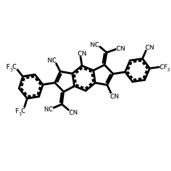 N#CC(C#N)=C1C(c2cc(C(F)(F)F)cc(C(F)(F)F)c2)=C(C#N)c2c1cc1c(c2C#N)C(=C(C#N)C#N)C(c2ccc(C(F)(F)F)c(C#N)c2)=C1C#N